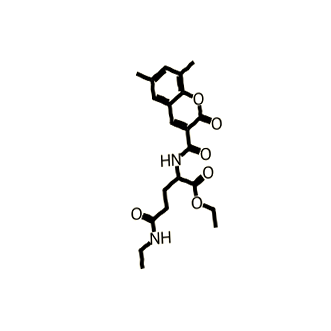 CCNC(=O)CCC(NC(=O)c1cc2cc(C)cc(C)c2oc1=O)C(=O)OCC